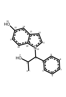 [CH2]C(O)C(c1ccccc1)n1ccc2cc(O)ccc21